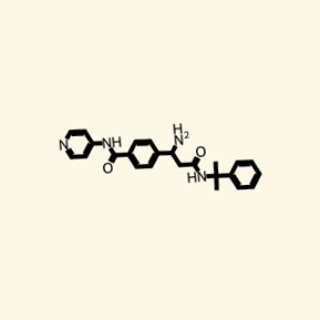 CC(C)(NC(=O)CC(N)c1ccc(C(=O)Nc2ccncc2)cc1)c1ccccc1